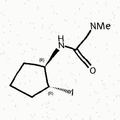 CNC(=O)N[C@@H]1CCC[C@H]1I